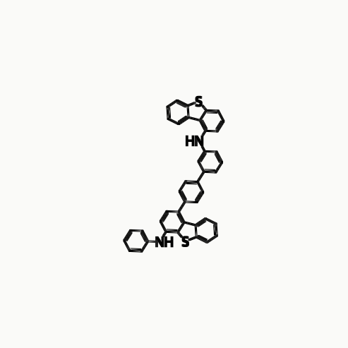 c1ccc(Nc2ccc(-c3ccc(-c4cccc(Nc5cccc6sc7ccccc7c56)c4)cc3)c3c2sc2ccccc23)cc1